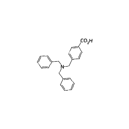 O=C(O)c1ccc(CN(Cc2ccccc2)Cc2ccccc2)cc1